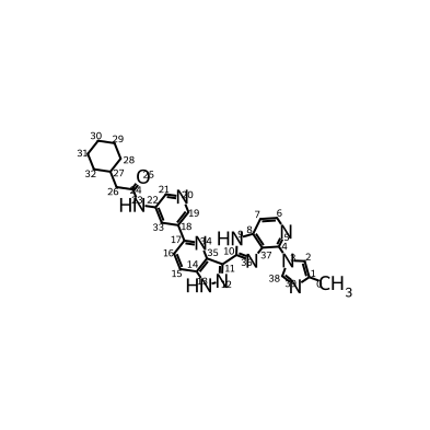 Cc1cn(-c2nccc3[nH]c(-c4n[nH]c5ccc(-c6cncc(NC(=O)CC7CCCCC7)c6)nc45)nc23)cn1